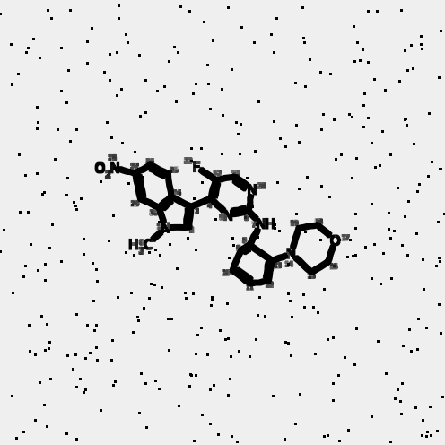 Cn1cc(-c2nc(Nc3ccccc3N3CCOCC3)ncc2F)c2ccc([N+](=O)[O-])cc21